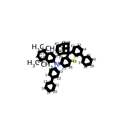 CC1(C)CCC(C)(C)c2cc(N(c3ccc(-c4ccccc4)cc3)c3ccc4c(c3)C3(c5cccc(-c6ccccc6)c5S4)C4CC5CC6CC3C64C5)ccc21